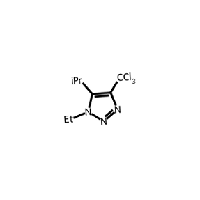 CCn1nnc(C(Cl)(Cl)Cl)c1C(C)C